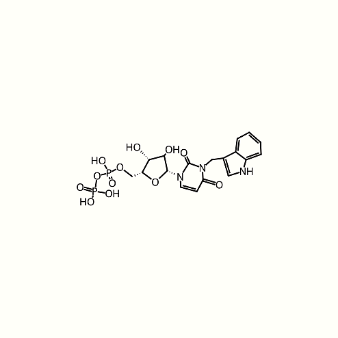 O=c1ccn([C@@H]2O[C@H](COP(=O)(O)OP(=O)(O)O)[C@H](O)C2O)c(=O)n1Cc1c[nH]c2ccccc12